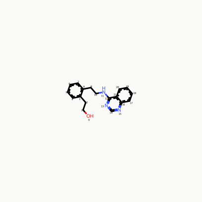 OCCc1ccccc1CCNc1ncnc2ccccc12